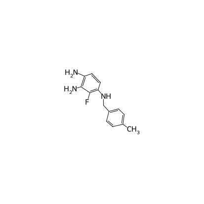 Cc1ccc(CNc2ccc(N)c(N)c2F)cc1